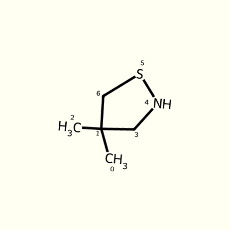 CC1(C)CNSC1